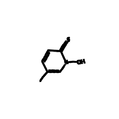 Cc1ccc(=S)n(O)c1